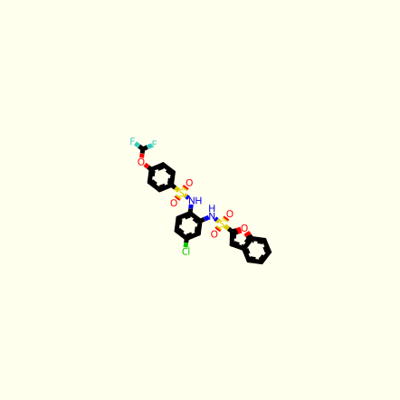 O=S(=O)(Nc1ccc(Cl)cc1NS(=O)(=O)c1cc2ccccc2o1)c1ccc(OC(F)F)cc1